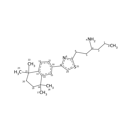 CCCC(N)CCc1nc(-c2ccc3c(c2)C(C)(C)CCC3(C)C)cs1